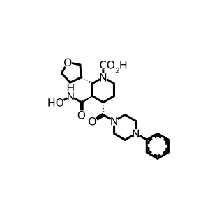 O=C(NO)[C@H]1C([C@@H]2CCOC2)N(C(=O)O)CC[C@@H]1C(=O)N1CCN(c2ccccc2)CC1